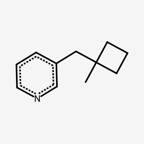 CC1(Cc2cccnc2)CCC1